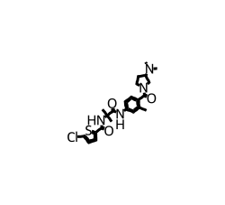 Cc1cc(NC(=O)C(C)(C)NC(=O)c2ccc(Cl)s2)ccc1C(=O)N1CCC(N(C)C)C1